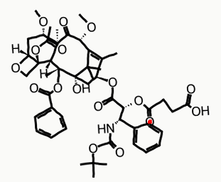 CO[C@H]1C(=O)[C@]2(C)[C@@H](OC)C[C@H]3OC[C@@]3(OC(C)=O)[C@H]2[C@@](C)(OC(=O)c2ccccc2)[C@]2(O)C[C@H](OC(=O)[C@H](OC(=O)CCC(=O)O)[C@@H](NC(=O)OC(C)(C)C)c3ccccc3)C(C)=C1C2(C)C